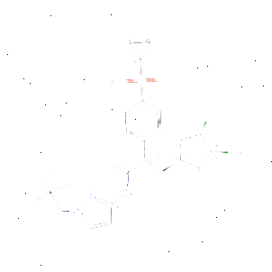 CC(C)(O)Cn1ccc(NC(=O)/C(=C/[C@H]2C[C@@H](F)[C@@H](F)C2)c2ccc(S(=O)(=O)C3CC3)cc2)n1